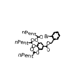 CCCCCC(=O)Oc1cc(C(=O)OCc2ccccc2Br)cc(OC(=O)CCCCC)c1OC(=O)CCCCC